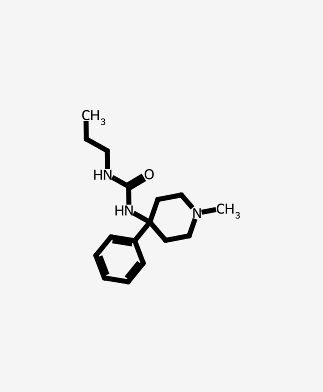 CCCNC(=O)NC1(c2ccccc2)CCN(C)CC1